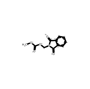 COC(=O)OCN1C(=O)c2ccccc2C1=O